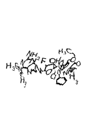 CCOC(=O)[C@@H](C)N[P@@](=S)(Oc1ccccc1)O[C@H]1[C@]2(O)[C@H](F)[C@H](n3cnc4c(N(C)C)nc(N)nc43)O[C@]12CCl